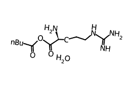 CCCCC(=O)OC(=O)[C@@H](N)CCCNC(=N)N.O